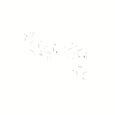 Cn1ncc2ccc(S(=O)(=O)NC(=O)NCC(F)=C3CCCc4cnn(Cc5ccc(Cl)cc5Cl)c43)cc21